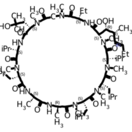 CC/C=C/[C@@H](C)[C@@H](O)[C@H]1C(=O)N[C@@H](CC)C(=O)N(C)CC(=O)N(C)[C@@H](CC(C)(C)O)C(=O)N[C@@H](C(C)C)C(=O)N(C)[C@@H](CC(C)C)C(=O)N[C@@H](C)C(=O)N[C@H](C)C(=O)N(C)[C@@H](CC(C)C)C(=O)N(C)[C@@H](CC(C)C)C(=O)N(C)[C@@H](C(C)C)C(=O)N1C